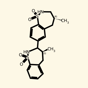 C[C@H]1CNS(=O)(=O)c2ccc(C3NS(=O)(=O)c4ccccc4C[C@@H]3C)cc2C1